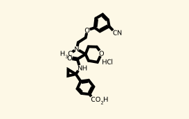 CN(CCOc1cccc(C#N)c1)C1(C(=O)NC2(c3ccc(C(=O)O)cc3)CC2)CCOCC1.Cl